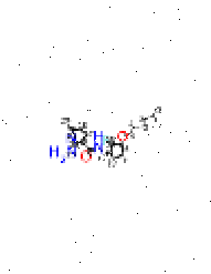 CCCCCCOc1cccc(CNC(=O)c2ccc(C)nc2N)c1F